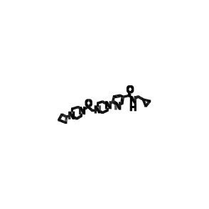 O=C(NCC1CC1)c1ccc(N2CCN(CC(=O)N3CCN(C4CCC4)CC3)CC2)nc1